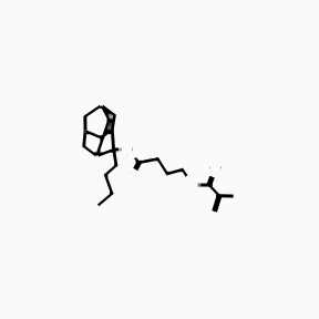 C=C(C)C(=O)OCCCC(=O)OC1(CCCC)C2CC3CC(C2)CC1C3